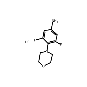 Cl.Nc1cc(F)c(N2CCOCC2)c(F)c1